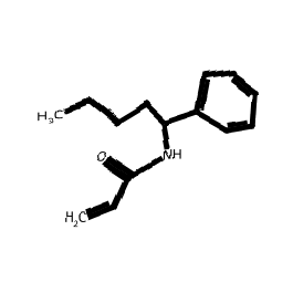 C=CC(=O)NC(CCCC)c1ccccc1